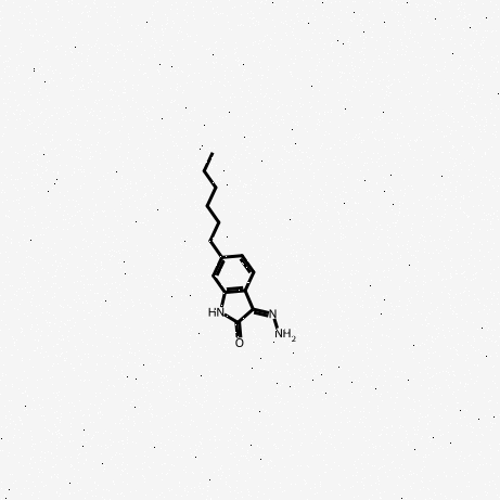 CCCCCCc1ccc2c(c1)NC(=O)C2=NN